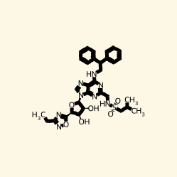 CCc1noc([C@H]2O[C@@H](n3cnc4c(NCC(c5ccccc5)c5ccccc5)nc(CNS(=O)(=O)CC(C)C)nc43)[C@H](O)[C@@H]2O)n1